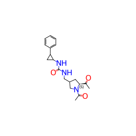 CC(=O)[C@@H]1CC(CNC(=O)NC2CC2c2ccccc2)CN1C(C)=O